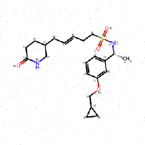 C[C@@H](NS(=O)(=O)CC/C=C/CC1CCC(=O)NC1)c1cccc(OCC2CC2)c1